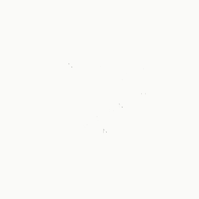 O=C1CCCN1c1ccc(S(=O)(=O)N2CCCCC2CNC(=O)C23CC4CC(CC(C4)C2)C3)cc1